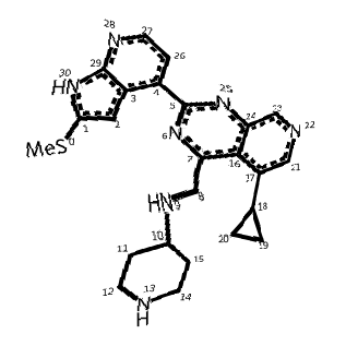 CSc1cc2c(-c3nc(CNC4CCNCC4)c4c(C5CC5)cncc4n3)ccnc2[nH]1